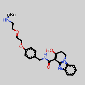 CCCCNCCOCCOc1ccc(CNC(=O)C2=C(O)CCn3c2nc2ccccc23)cc1